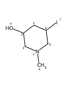 CN1CC(O)CC(I)C1